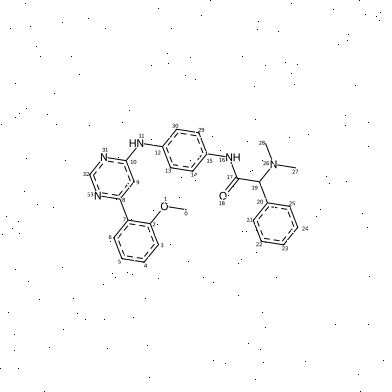 COc1ccccc1-c1cc(Nc2ccc(NC(=O)C(c3ccccc3)N(C)C)cc2)ncn1